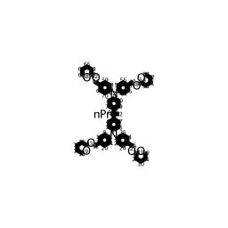 CCCC(C)(c1ccc(N(c2ccc(COC3CCCCO3)cc2)c2ccc(COC3CCCCO3)cc2)cc1)c1ccc(N(c2ccc(COC3CCCCO3)cc2)c2ccc(COC3CCCCO3)cc2)cc1